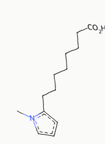 Cn1cccc1CCCCCCCC(=O)O